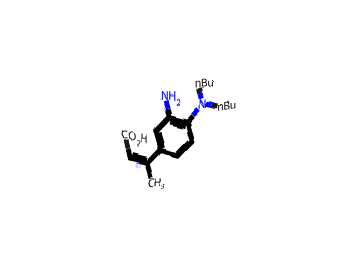 CCCCN(CCCC)c1ccc(/C(C)=C\C(=O)O)cc1N